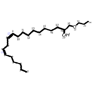 CCCCC/C=C\C/C=C\CCCCCCCCC(O)COCCC